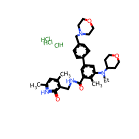 CCN(c1cc(-c2ccc(CN3CCOCC3)cc2)cc(C(=O)NCc2c(C)cc(C)[nH]c2=O)c1C)C1CCOCC1.Cl.Cl.Cl